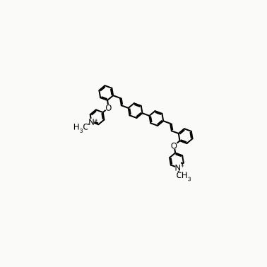 C[n+]1ccc(Oc2ccccc2/C=C/c2ccc(-c3ccc(/C=C/c4ccccc4Oc4cc[n+](C)cc4)cc3)cc2)cc1